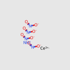 O=N[O-].O=N[O-].O=N[O-].O=N[O-].[Ce+3].[NH4+]